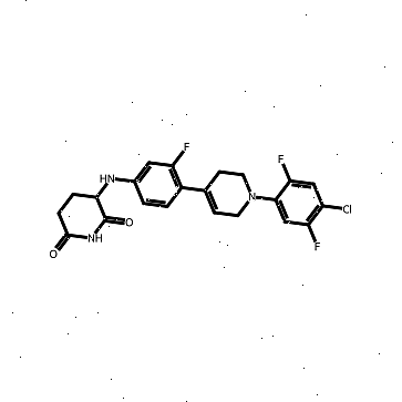 O=C1CCC(Nc2ccc(C3=CCN(c4cc(F)c(Cl)cc4F)CC3)c(F)c2)C(=O)N1